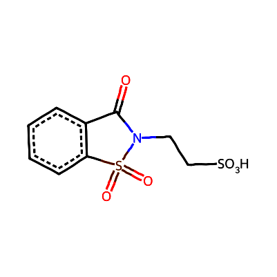 O=C1c2ccccc2S(=O)(=O)N1CCS(=O)(=O)O